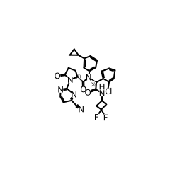 N#Cc1ccnc(N2C(=O)CC[C@H]2C(=O)N(c2cccc(C3CC3)c2)[C@H](C(=O)NC2CC(F)(F)C2)c2ccccc2Cl)n1